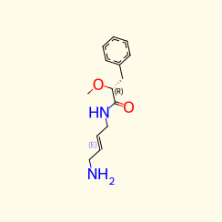 CO[C@H](Cc1ccccc1)C(=O)NC/C=C/CN